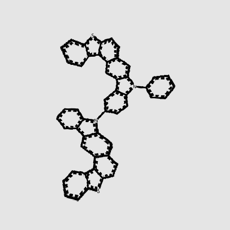 c1ccc(-n2c3ccc(-n4c5ccccc5c5cc6c(ccc7sc8ccccc8c76)cc54)cc3c3cc4c(ccc5sc6ccccc6c54)cc32)cc1